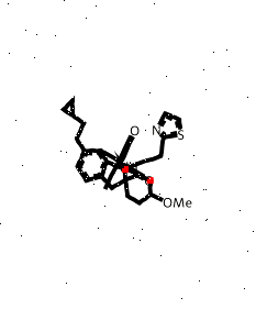 COC1CCC2(CC1)Cc1ccc(CCC3CC3)cc1C21NC(=O)N(Cc2nccs2)C1=O